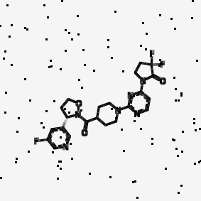 O=C(C1CCN(c2nccc(N3CCC(F)(F)C3=O)n2)CC1)N1OCC[C@H]1c1cncc(F)c1